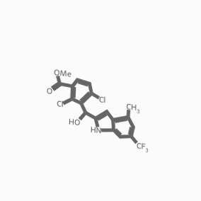 COC(=O)c1ccc(Cl)c(C(O)c2cc3c(C)cc(C(F)(F)F)cc3[nH]2)c1Cl